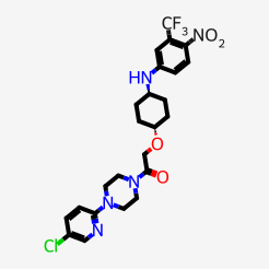 O=C(CO[C@H]1CC[C@H](Nc2ccc([N+](=O)[O-])c(C(F)(F)F)c2)CC1)N1CCN(c2ccc(Cl)cn2)CC1